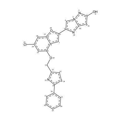 Oc1nn2cc(-c3cc4c(OCc5csc(-c6ccccc6)n5)cc(Cl)cc4o3)nc2s1